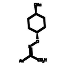 CC(=O)O[C@H]1CC[C@H](O/N=C(/C(C)=O)C(=O)O)CC1